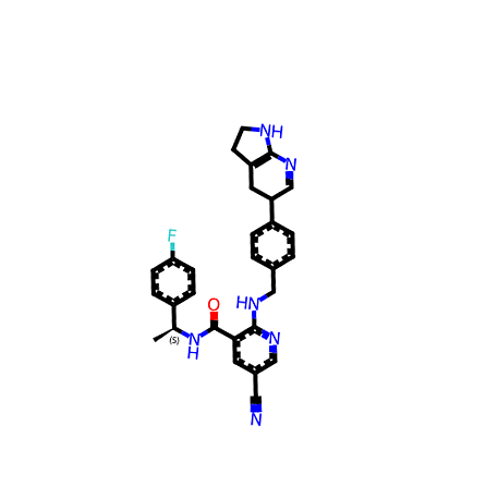 C[C@H](NC(=O)c1cc(C#N)cnc1NCc1ccc(C2C=NC3=C(CCN3)C2)cc1)c1ccc(F)cc1